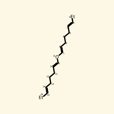 CC/C=C/CCC/C=C/O/C=C/CCC/C=C/CC